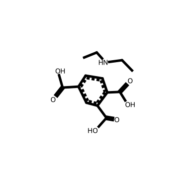 CCNCC.O=C(O)c1ccc(C(=O)O)c(C(=O)O)c1